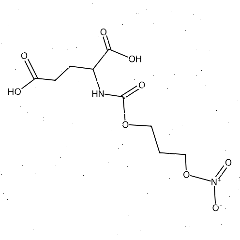 O=C(O)CCC(NC(=O)OCCCO[N+](=O)[O-])C(=O)O